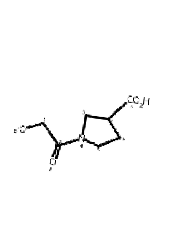 [O]CC(=O)N1CCC(C(=O)O)C1